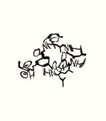 CCS(=O)(=O)Nc1cc(C(=O)NCc2ccc(C)o2)cc(C(=O)NC(CC(C)C)C(O)CC(C)C(=O)NC(C(=O)NCC(C)C)C(C)C)c1